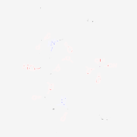 CCCCCCCCCCCCCC(=O)N[C@H]1[C@@H](OCCOP(=O)(O)O)O[C@H](COC(=O)[C@@H](CCC(=O)O)NC(=O)CCCCCCCCCCCCC)[C@@H](O)[C@@H]1OC(=O)CCCCCCCCCCCCC